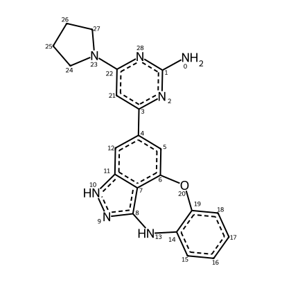 Nc1nc(-c2cc3c4c(n[nH]c4c2)Nc2ccccc2O3)cc(N2CCCC2)n1